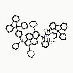 C=C/C(=C\C=C(/C)N(c1ccccc1)c1cc(C2CCCCC2)c2ccc3c(N(c4ccccc4)c4ccc(C5(c6ccccc6)c6ccccc6-c6ccccc65)cc4)cc(C4CCCCC4)c4ccc1c2c43)C1(c2ccccc2)c2ccccc2-c2ccccc21